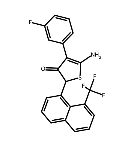 NC1=C(c2cccc(F)c2)C(=O)C(c2cccc3cccc(C(F)(F)F)c23)S1